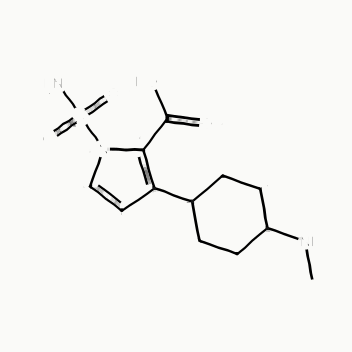 CNC1CCC(c2ccn(S(N)(=O)=O)c2C(=O)O)CC1